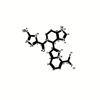 CC(C)(C)c1nnc(C(=O)N2CCc3[nH]cnc3C2c2cc3cccc(C(F)F)n3n2)o1